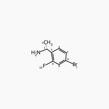 C[C@@H](N)c1ccc(Br)cc1F